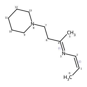 C/C=C\N=C(/C)CCN1CCCCC1